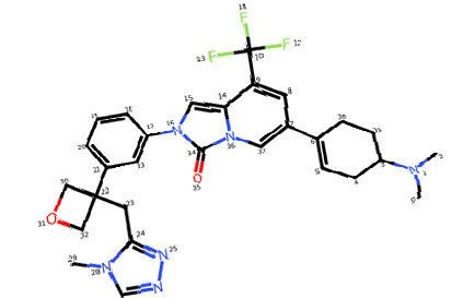 CN(C)C1CC=C(c2cc(C(F)(F)F)c3cn(-c4cccc(C5(Cc6nncn6C)COC5)c4)c(=O)n3c2)CC1